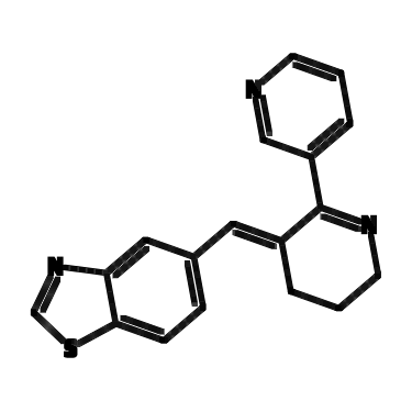 C(=C1CCCN=C1c1cccnc1)c1ccc2scnc2c1